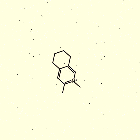 Cc1cc2c(c[n+]1C)CCCC2